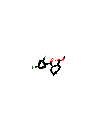 COC(=O)C1CC=CCC1C(=O)c1ccc(Br)cc1F